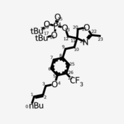 CCCC/C=C/COc1ccc(CCC2(COP(=O)(OC(C)(C)C)OC(C)(C)C)COC(C)=N2)cc1C(F)(F)F